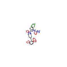 COc1cccc(OC)c1C1CCN(C(=O)c2cn(CC(=O)N(C)C)c3cc(Cl)ccc23)CC1